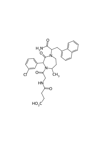 CC1CCN(C(Cc2cccc3ccccc23)C(N)=O)C(=O)C(c2cccc(Cl)c2)N1C(=O)CNC(=O)CCC(=O)O